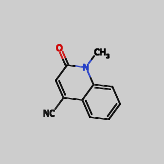 Cn1c(=O)cc(C#N)c2ccccc21